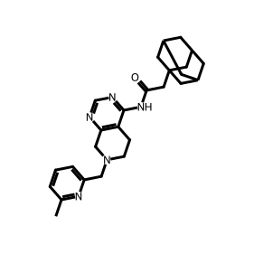 Cc1cccc(CN2CCc3c(ncnc3NC(=O)CC34CC5CC(CC(C5)C3)C4)C2)n1